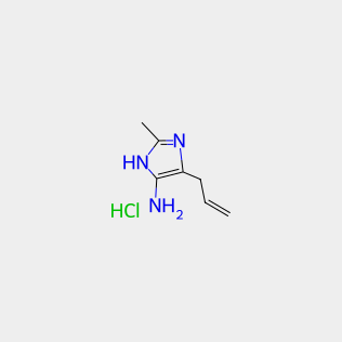 C=CCc1nc(C)[nH]c1N.Cl